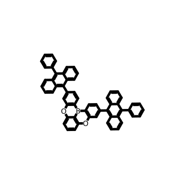 c1ccc(-c2c3ccccc3c(-c3ccc4c(c3)Oc3cccc5c3B4c3ccc(-c4c6ccccc6c(-c6ccccc6)c6ccccc46)cc3O5)c3ccccc23)cc1